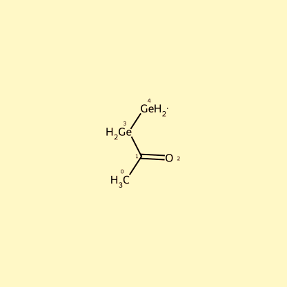 C[C](=O)[GeH2][GeH2]